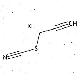 C#CCSC#N.[KH]